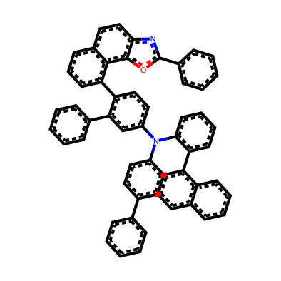 c1ccc(-c2ccc(N(c3ccc(-c4cccc5ccc6nc(-c7ccccc7)oc6c45)c(-c4ccccc4)c3)c3ccccc3-c3cccc4ccccc34)cc2)cc1